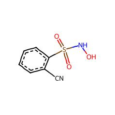 N#Cc1ccccc1S(=O)(=O)NO